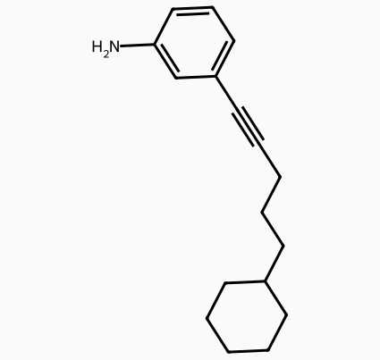 Nc1cccc(C#CCCCC2CCCCC2)c1